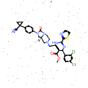 COC(=O)C1=C(CN2CCN3C(=O)N(c4ccc(C5(C#N)CC5)cc4)C[C@@H]3C2)NC(c2nccs2)=NC1c1ccc(Cl)cc1Cl